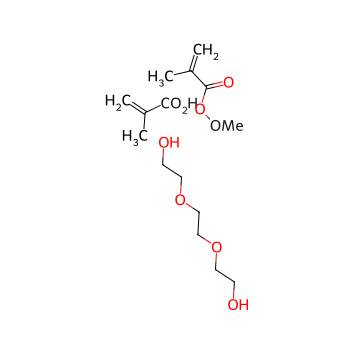 C=C(C)C(=O)O.C=C(C)C(=O)OOC.OCCOCCOCCO